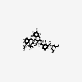 CCCN(CCC)C(=O)c1cccc(C(=O)N[C@@H](Cc2cc(F)cc(F)c2)[C@H](O)CN(Cc2cccc(SCC)c2)C(=O)OC(C)(C)C)c1